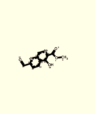 COC(=O)c1ncc2nc(C=O)ccc2c1O